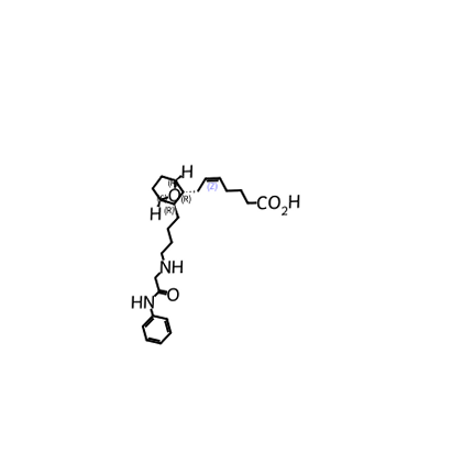 O=C(O)CCC/C=C\C[C@@H]1[C@@H](CCCCNCC(=O)Nc2ccccc2)[C@@H]2CC[C@H]1O2